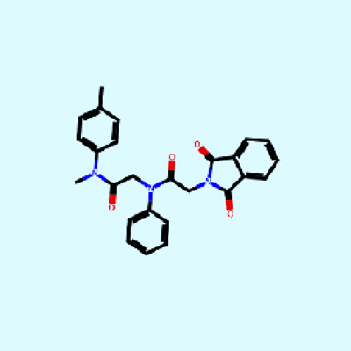 Cc1ccc(N(C)C(=O)CN(C(=O)CN2C(=O)c3ccccc3C2=O)c2ccccc2)cc1